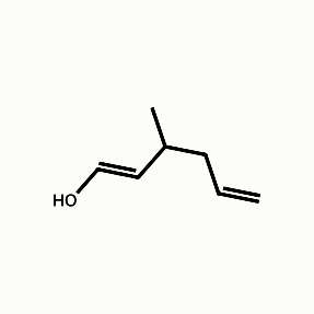 C=CCC(C)C=CO